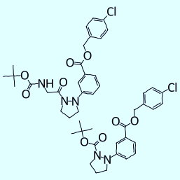 CC(C)(C)OC(=O)N1CCCN1c1cccc(C(=O)OCc2ccc(Cl)cc2)c1.CC(C)(C)OC(=O)NCC(=O)N1CCCN1c1cccc(C(=O)OCc2ccc(Cl)cc2)c1